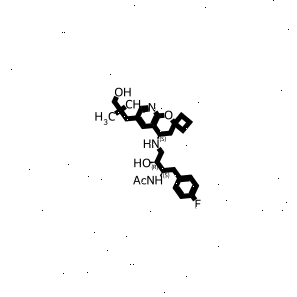 CC(=O)N[C@@H](Cc1ccc(F)cc1)[C@H](O)CN[C@H]1CC2(CCC2)Oc2ncc(CC(C)(C)CO)cc21